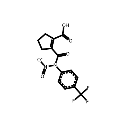 O=C(O)C1=C(C(=O)N(c2ccc(C(F)(F)F)cc2)[N+](=O)[O-])CCC1